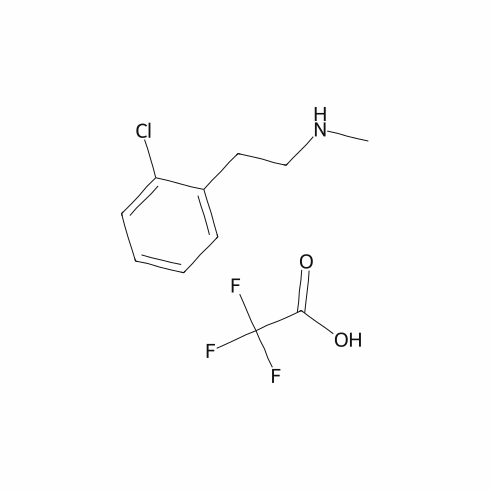 CNCCc1ccccc1Cl.O=C(O)C(F)(F)F